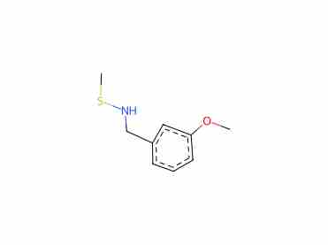 COc1cccc(CNSC)c1